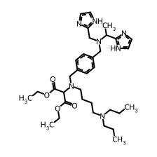 CCCN(CCC)CCCCN(Cc1ccc(CN(Cc2ncc[nH]2)C(C)c2ncc[nH]2)cc1)C(C(=O)OCC)C(=O)OCC